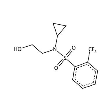 O=S(=O)(c1ccccc1C(F)(F)F)N(CCO)C1CC1